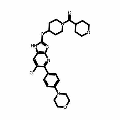 O=C(C1CCOCC1)N1CCC(Oc2nc3nc(-c4ccc(N5CCOCC5)cc4)c(Cl)cc3[nH]2)CC1